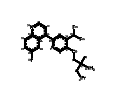 CC(C)CC(C)(N)COc1cnc(-c2ccnc3ccc(F)cc23)cc1C(F)F